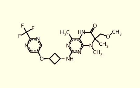 COCC1(C)C(=O)Nc2c(C)nc(N[C@H]3C[C@H](Oc4cnc(C(F)(F)F)nc4)C3)nc2N1C